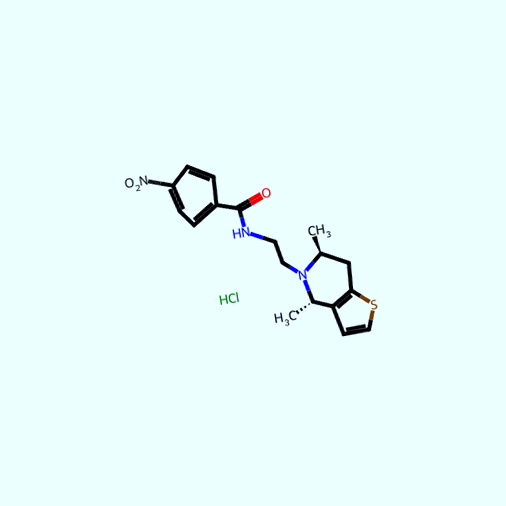 C[C@H]1Cc2sccc2[C@H](C)N1CCNC(=O)c1ccc([N+](=O)[O-])cc1.Cl